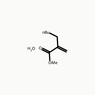 C=C(CCCCC)C(=O)OC.O